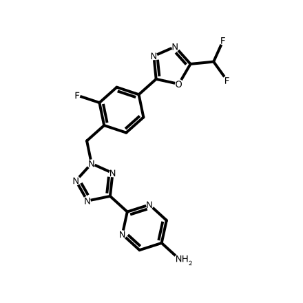 Nc1cnc(-c2nnn(Cc3ccc(-c4nnc(C(F)F)o4)cc3F)n2)nc1